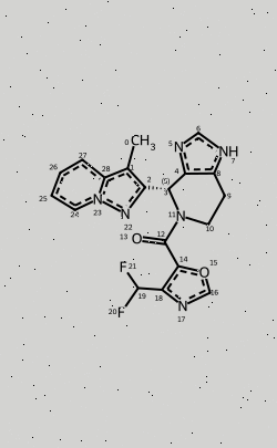 Cc1c([C@@H]2c3nc[nH]c3CCN2C(=O)c2ocnc2C(F)F)nn2ccccc12